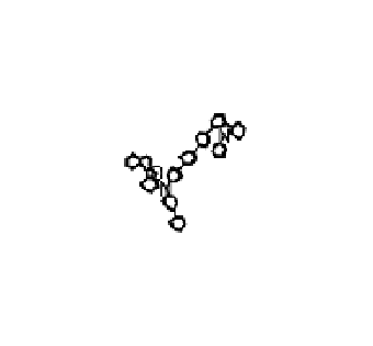 c1ccc(-c2ccc(N(c3ccc(-c4ccc(-c5ccc(-c6cccc7c8ccccc8n(-c8ccccc8)c67)cc5)cc4)cc3)c3cccc4c3oc3ccc5ccccc5c34)cc2)cc1